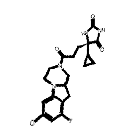 O=C1NC(=O)[C@](CCC(=O)N2CCN3c4cc(Cl)cc(F)c4CC3C2)(C2CC2)N1